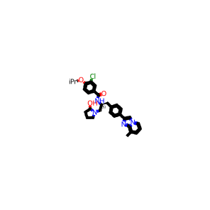 Cc1cccn2cc(-c3ccc(C[C@@H](CN4CCCC4O)NC(=O)c4ccc(OC(C)C)c(Cl)c4)cc3)nc12